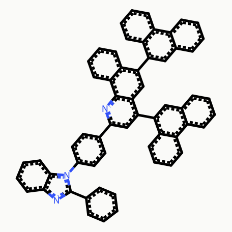 c1ccc(-c2nc3ccccc3n2-c2ccc(-c3cc(-c4cc5ccccc5c5ccccc45)c4cc(-c5cc6ccccc6c6ccccc56)c5ccccc5c4n3)cc2)cc1